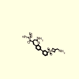 CCCN(OCC)C(=O)C1=Cc2ccc(-c3cccc(S(=O)(=O)N4CC(CN)C4)c3)cc2N=C(N)C1